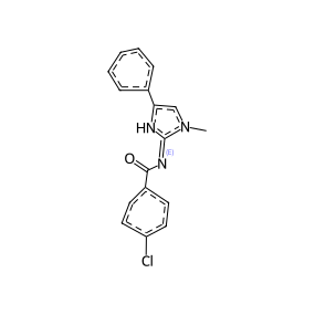 Cn1cc(-c2ccccc2)[nH]/c1=N\C(=O)c1ccc(Cl)cc1